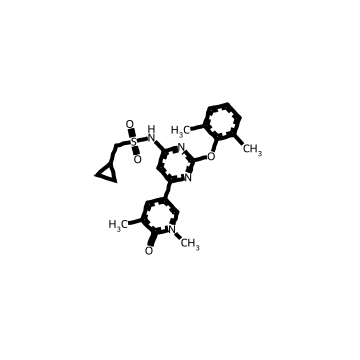 Cc1cccc(C)c1Oc1nc(NS(=O)(=O)CC2CC2)cc(-c2cc(C)c(=O)n(C)c2)n1